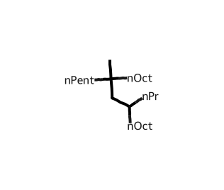 CCCCCCCCC(CCC)CC(C)(CCCCC)CCCCCCCC